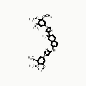 COc1cc(-n2cnc(Nc3ccc4c(c3)CC(N)(c3cn(-c5cc(OC)c(OC)c(OC)c5)cn3)C=C4)c2)cc(OC)c1OC